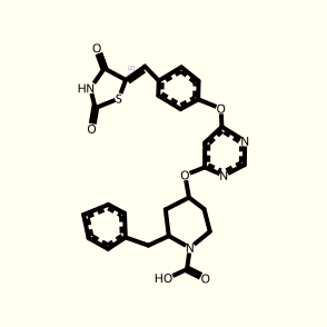 O=C1NC(=O)/C(=C/c2ccc(Oc3cc(OC4CCN(C(=O)O)C(Cc5ccccc5)C4)ncn3)cc2)S1